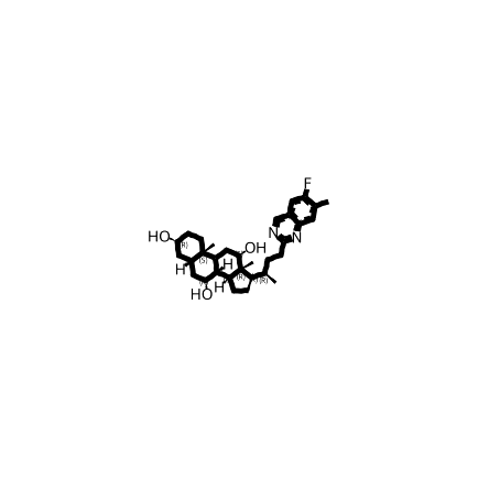 Cc1cc2nc(CC[C@@H](C)[C@H]3CC[C@H]4[C@H]5C(C[C@H](O)[C@]34C)[C@@]3(C)CC[C@@H](O)C[C@H]3C[C@H]5O)ncc2cc1F